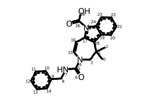 CC1(C)CN(C(=O)NCc2ccccc2)C=Cc2c1c1ccccc1n2C(=O)O